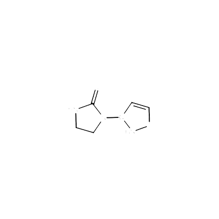 O=C1NCCN1N1C=CSN1